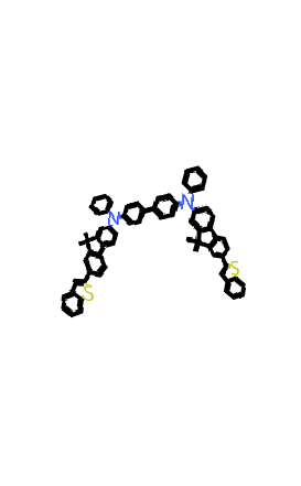 CC1(C)c2cc(-c3cc4ccccc4s3)ccc2-c2ccc(N(c3ccccc3)c3ccc(-c4ccc(N(c5ccccc5)c5ccc6c(c5)C(C)(C)c5cc(-c7cc8ccccc8s7)ccc5-6)cc4)cc3)cc21